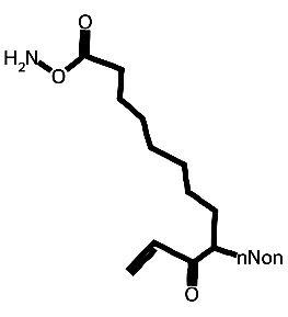 C=CC(=O)C(CCCCCCCCC)CCCCCCCC(=O)ON